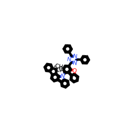 CC1(C)c2ccccc2-c2ccc3c4ccccc4n(-c4c(C(F)(F)F)cc(-c5nc(-c6ccccc6)nc(-c6ccccc6)n5)c5oc6ccccc6c45)c3c21